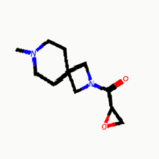 CN1CCC2(CC1)CN(C(=O)C1CO1)C2